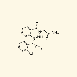 CC(c1ccccc1Cl)N1NN(CC(N)=O)C(=O)c2ccccc21